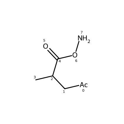 CC(=O)CC(C)C(=O)ON